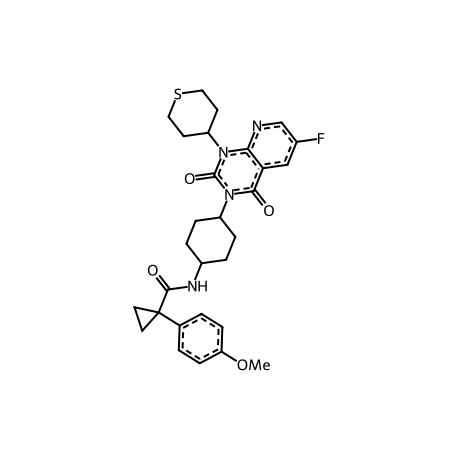 COc1ccc(C2(C(=O)NC3CCC(n4c(=O)c5cc(F)cnc5n(C5CCSCC5)c4=O)CC3)CC2)cc1